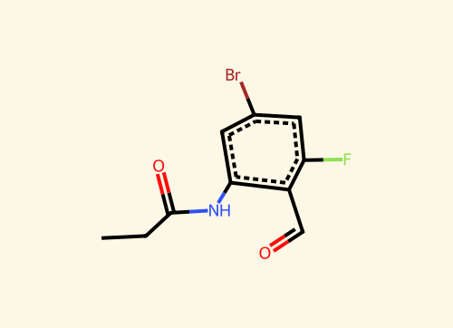 CCC(=O)Nc1cc(Br)cc(F)c1C=O